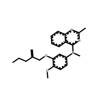 C=C(CCC)COc1cc(N(C)c2nc(C)nc3ccccc23)ccc1OC